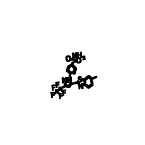 Cc1ccc2nc(-c3cc(C(F)(F)C(F)(F)F)nn3-c3ccc(S(N)(=O)=O)cc3)sc2c1